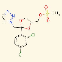 CS(=O)(=O)OCC1COC(Cn2ccnn2)(c2ccc(Cl)cc2Cl)O1